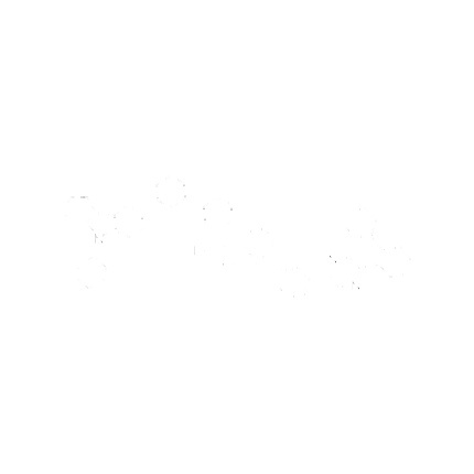 CC1(C)c2cc(-c3cccc(-c4ccc5c(c4)c4ccccc4n5-c4ccccc4)c3)ccc2-c2ccc(-c3cccc(-c4cnc5c6ccccc6c6ccccc6c5n4)c3)cc21